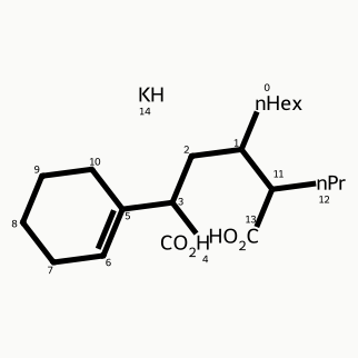 CCCCCCC(CC(C(=O)O)C1=CCCCC1)C(CCC)C(=O)O.[KH]